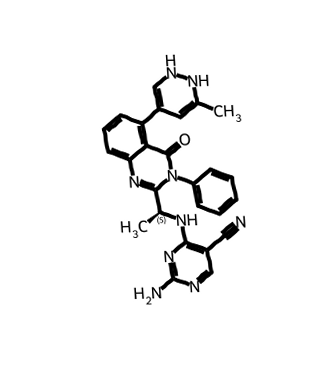 CC1=CC(c2cccc3nc([C@H](C)Nc4nc(N)ncc4C#N)n(-c4ccccc4)c(=O)c23)=CNN1